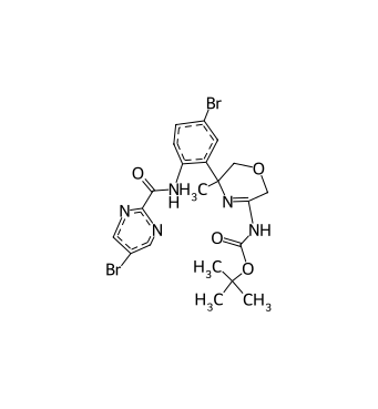 CC(C)(C)OC(=O)NC1=NC(C)(c2cc(Br)ccc2NC(=O)c2ncc(Br)cn2)COC1